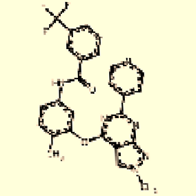 Cc1ccc(NC(=O)c2cccc(C(F)(F)F)c2)cc1Oc1nc(-c2ccncc2)nc2nn(C)cc12